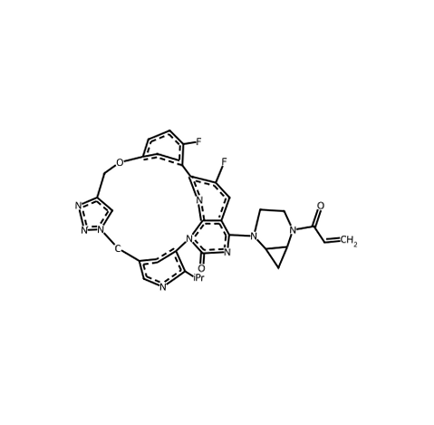 C=CC(=O)N1CCN(c2nc(=O)n3c4nc(c(F)cc24)-c2cc(ccc2F)OCc2cn(nn2)Cc2cnc(C(C)C)c-3c2)C2CC21